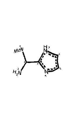 CNC(N)c1ncc[nH]1